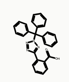 O=C(O)c1ccccc1-c1nnn(C(c2ccccc2)(c2ccccc2)c2ccccc2)n1